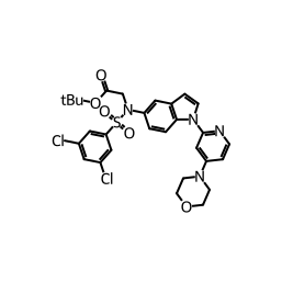 CC(C)(C)OC(=O)CN(c1ccc2c(ccn2-c2cc(N3CCOCC3)ccn2)c1)S(=O)(=O)c1cc(Cl)cc(Cl)c1